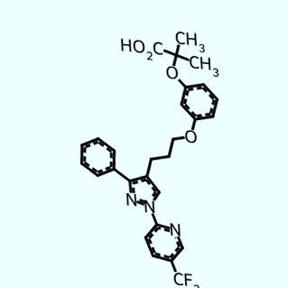 CC(C)(Oc1cccc(OCCCc2cn(-c3ccc(C(F)(F)F)cn3)nc2-c2ccccc2)c1)C(=O)O